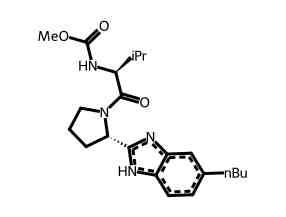 CCCCc1ccc2[nH]c([C@@H]3CCCN3C(=O)[C@@H](NC(=O)OC)C(C)C)nc2c1